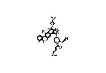 Cc1cccc(-c2c(C)cc3c(nc(N4CC(N(C)C)C4)c4nnn([C@H]5CCN(C(=O)/C=C/CN(C)C)[C@H](CC#N)C5)c43)c2F)c1Cl